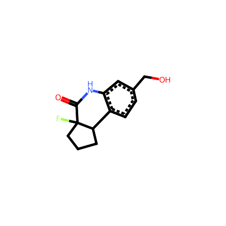 O=C1Nc2cc(CO)ccc2C2CCCC12F